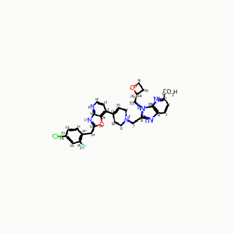 O=C(O)c1ccc2nc(CN3CC=C(c4ccnc5nc(Cc6ccc(Cl)cc6F)oc45)CC3)n(C[C@@H]3CCO3)c2n1